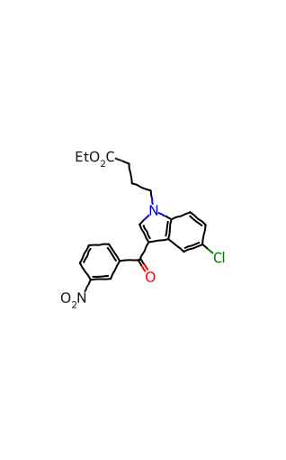 CCOC(=O)CCCn1cc(C(=O)c2cccc([N+](=O)[O-])c2)c2cc(Cl)ccc21